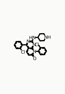 O=c1ccc2c(-c3ccccc3Cl)nc(NC3CCNCC3)nc2n1-c1ccccc1Cl